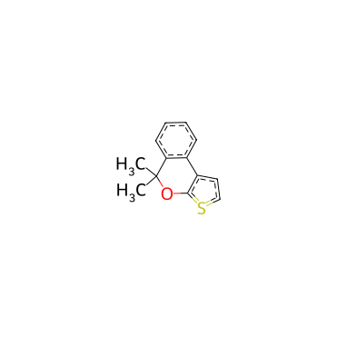 CC1(C)Oc2sccc2-c2ccccc21